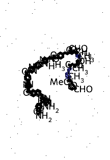 COC(CC1CCCC(C=O)O1)/C(C)=C/C=C/C=C/C(C)CC(C)C(=O)CC(O)/C(C)=C/C(C)C(=O)CC(CCC1CCC(OC(=O)NCc2cnc(N3CCN(c4ncc(C(=O)N5CCN(c6ncc(C(=O)N7CCc8cc(Cn9nc(-c%10ccc%11oc(N)nc%11c%10)c%10c(N)ncnc%109)ccc8C7)cn6)CC5)cn4)CC3)nc2)CC1)OC=O